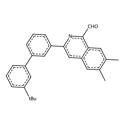 Cc1cc2cc(-c3cccc(-c4cccc(C(C)(C)C)c4)c3)nc(C=O)c2cc1C